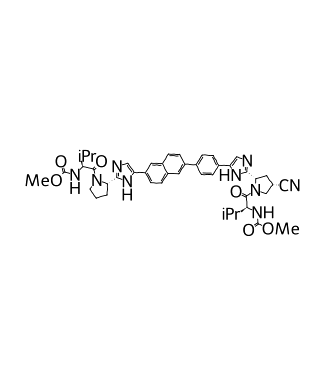 COC(=O)N[C@H](C(=O)N1CCC[C@H]1c1ncc(-c2ccc3cc(-c4ccc(-c5cnc([C@@H]6C[C@H](C#N)CN6C(=O)[C@@H](NC(=O)OC)C(C)C)[nH]5)cc4)ccc3c2)[nH]1)C(C)C